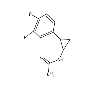 CC(=O)NC1CC1c1ccc(F)c(F)c1